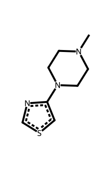 CN1CCN(c2cscn2)CC1